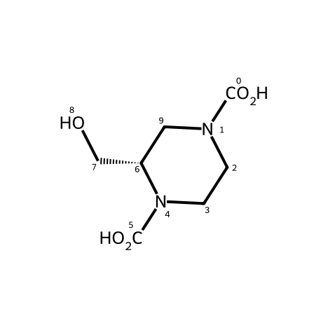 O=C(O)N1CCN(C(=O)O)[C@H](CO)C1